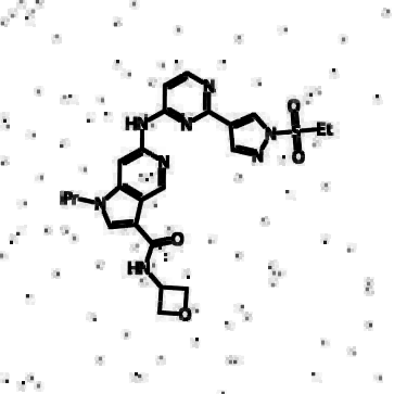 CCS(=O)(=O)n1cc(-c2nccc(Nc3cc4c(cn3)c(C(=O)NC3COC3)cn4C(C)C)n2)cn1